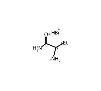 Br.CCC(N)C(N)=O